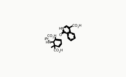 CC(C)NC1C(C(=O)O)=CC=CC1(C)C(=O)O.O=C(O)c1c[nH]c(=O)c2ccccc12